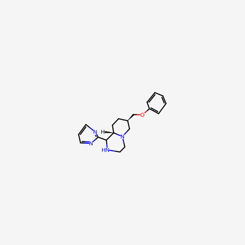 c1ccc(OC[C@@H]2CC[C@H]3C(c4ncccn4)NCCN3C2)cc1